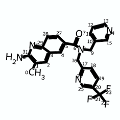 Cc1cc2cc(C(=O)N(Cc3cccnc3)Cc3ccc(C(F)(F)F)cn3)ccc2nc1N